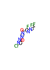 O=C(c1cnc(N2CCC3(C2)CC3(F)F)c(F)c1)N1CCN(c2nc3nc(Cl)ccc3o2)CC1